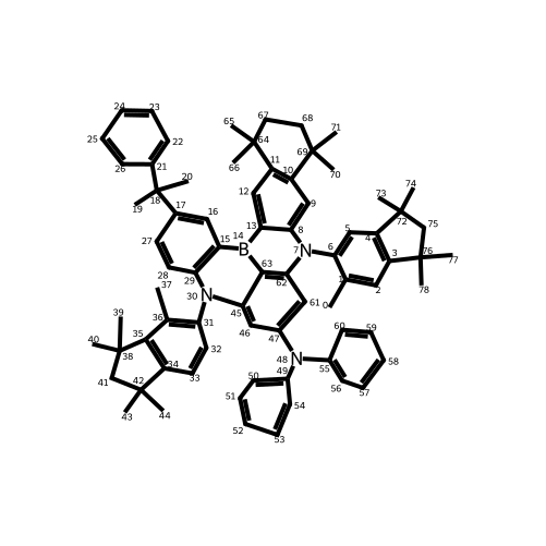 Cc1cc2c(cc1N1c3cc4c(cc3B3c5cc(C(C)(C)c6ccccc6)ccc5N(c5ccc6c(c5C)C(C)(C)CC6(C)C)c5cc(N(c6ccccc6)c6ccccc6)cc1c53)C(C)(C)CCC4(C)C)C(C)(C)CC2(C)C